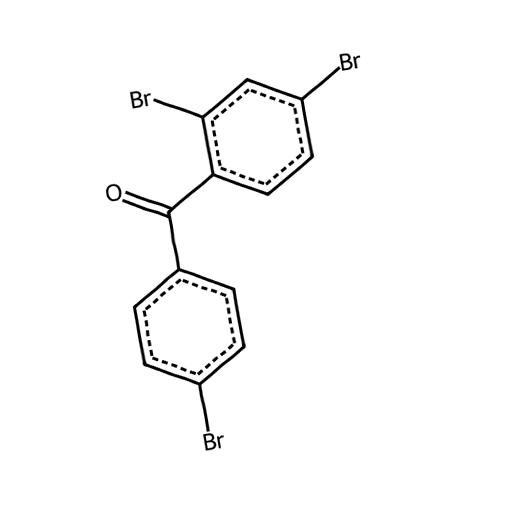 O=C(c1ccc(Br)cc1)c1ccc(Br)cc1Br